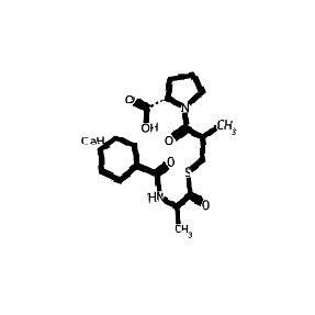 CC(CSC(=O)C(C)NC(=O)C1CCCCC1)C(=O)N1CCC[C@H]1C(=O)O.[CaH2]